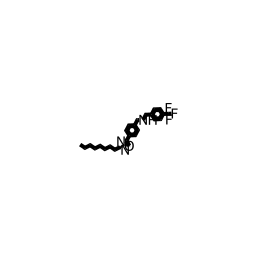 CCCCCCCCc1noc(-c2ccc(CNCc3ccc(C(F)(F)F)cc3)cc2)n1